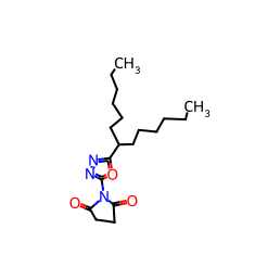 CCCCCCC(CCCCCC)c1nnc(N2C(=O)CCC2=O)o1